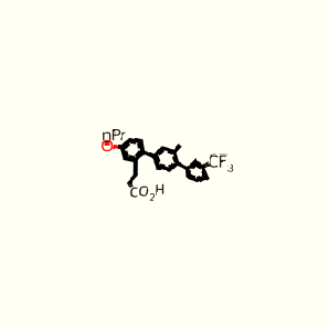 CCCOc1ccc(-c2ccc(-c3cccc(C(F)(F)F)c3)c(C)c2)c(CCC(=O)O)c1